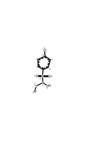 CCCN(SBr)S(=O)(=O)c1ccc(Cl)cc1